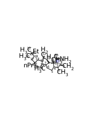 C=CC(C)C1CCC2(C)C(=CC(=C)C3CC(CCC)(CCC(C)(C)CC)CCC32)C1(C)/C=C(\C)N